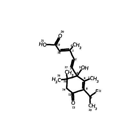 CC(C=CC1(O)C(C)=C(C(C)F)C(=O)CC1(C)C)=CC(=O)O